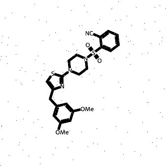 COc1cc(Cc2csc(N3CCN(S(=O)(=O)c4ccccc4C#N)CC3)n2)cc(OC)c1